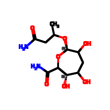 CC(CC(N)=O)O[C@@H]1OC(C(N)=O)[C@@H](O)C(O)CC1O